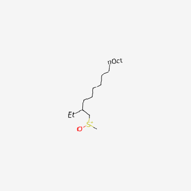 CCCCCCCCCCCCCCC(CC)C[S+](C)[O-]